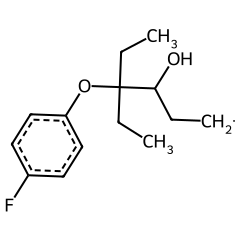 [CH2]CC(O)C(CC)(CC)Oc1ccc(F)cc1